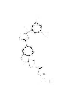 CS(=O)(=O)CC(=O)N1CC2(C1)OCc1cc(C3=NO[C@@](c4cc(C(F)(F)F)cc(C(F)(F)F)c4)(C(F)(F)F)C3)ccc12